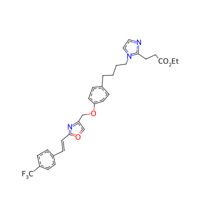 CCOC(=O)CCc1nccn1CCCCc1ccc(OCc2coc(/C=C/c3ccc(C(F)(F)F)cc3)n2)cc1